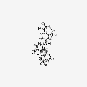 CC1(C)CCC(=O)Nc2ccc(Nc3ncc(Cl)c(Nc4c(F)cccc4S(C)(=O)=O)n3)cc21